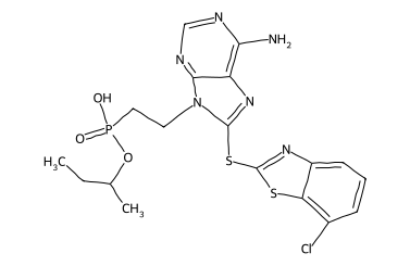 CCC(C)OP(=O)(O)CCn1c(Sc2nc3cccc(Cl)c3s2)nc2c(N)ncnc21